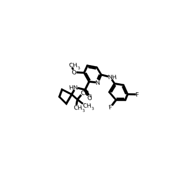 COc1ccc(Nc2cc(F)cc(F)c2)nc1C(=O)NC1(C(C)(C)C)CCC1